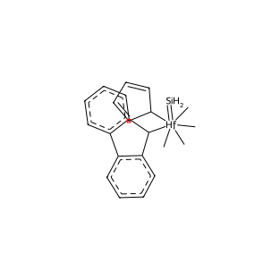 [CH3][Hf]([CH3])([CH3])([CH3])(=[SiH2])([CH]1C=CC=C1)[CH]1c2ccccc2-c2ccccc21